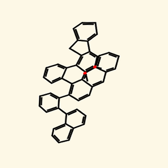 Cc1cc2c(c(-c3ccccc3-c3c(-c4ccccc4-c4cccc5ccccc45)ccc4cc5ccccc5cc34)c1C)Cc1ccccc1-2